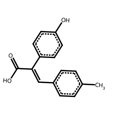 Cc1ccc(/C=C(/C(=O)O)c2ccc(O)cc2)cc1